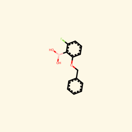 OB(O)c1c(F)cccc1OCc1ccccc1